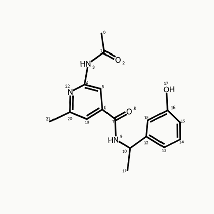 CC(=O)Nc1cc(C(=O)NC(C)c2cccc(O)c2)cc(C)n1